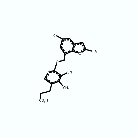 CCCc1cc2cc(Cl)cc(COc3ncc(CCC(=O)O)c(C)c3C#N)c2o1